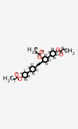 C=CC(=O)Oc1ccc(-c2ccc(C#Cc3ccc(-c4ccc(OC(=O)C=C)cc4)cc3OC(=O)C=C)cc2)cc1